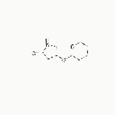 O=C1CC(OC2CCCCO2)CN1